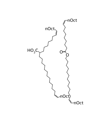 CCCCCCCC/C=C\CCCCCCCCCCCCC(CCCCCC/C=C\CCCCCCCC)C(=O)O.CCCCCCCC/C=C\CCCCCCCCCCCCOC(=O)CCCCCCC/C=C\CCCCCCCC